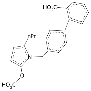 CCCc1ccc(OC(=O)O)n1Cc1ccc(-c2ccccc2C(=O)O)cc1